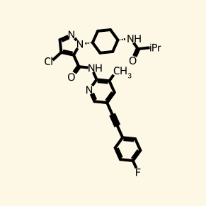 Cc1cc(C#Cc2ccc(F)cc2)cnc1NC(=O)c1c(Cl)cnn1[C@H]1CC[C@@H](NC(=O)C(C)C)CC1